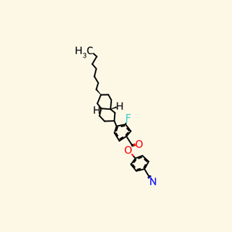 CCCCCCC[C@H]1CC[C@@H]2CC(c3ccc(C(=O)Oc4ccc(C#N)cc4)cc3F)CC[C@H]2C1